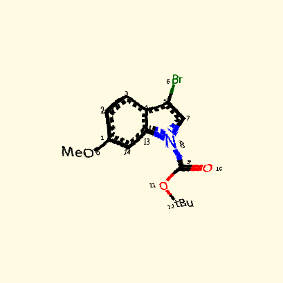 COc1ccc2c(Br)cn(C(=O)OC(C)(C)C)c2c1